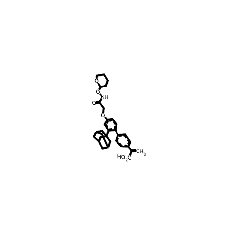 C=C(C(=O)O)c1ccc(-c2ccc(OCC(=O)NOC3CCCCO3)cc2C23CC4CC(CC(C4)C2)C3)cc1